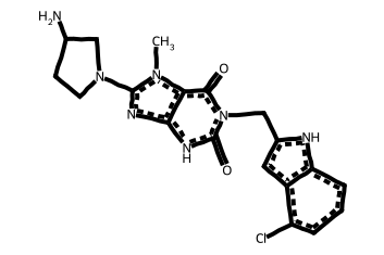 Cn1c(N2CCC(N)C2)nc2[nH]c(=O)n(Cc3cc4c(Cl)cccc4[nH]3)c(=O)c21